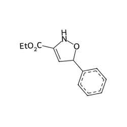 CCOC(=O)C1=CC(c2ccccc2)ON1